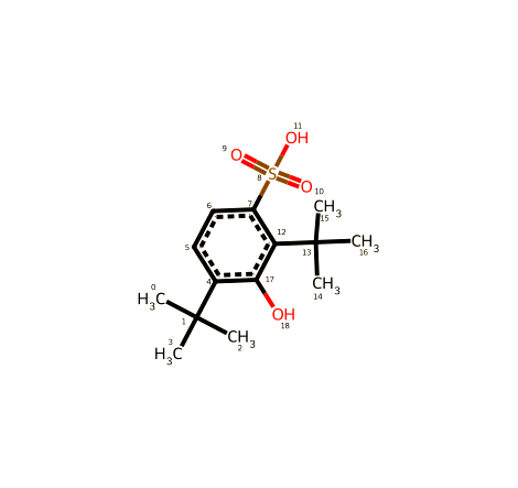 CC(C)(C)c1ccc(S(=O)(=O)O)c(C(C)(C)C)c1O